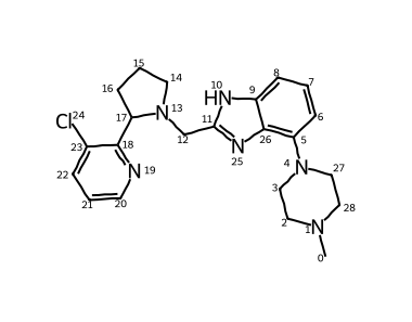 CN1CCN(c2cccc3[nH]c(CN4CCCC4c4ncccc4Cl)nc23)CC1